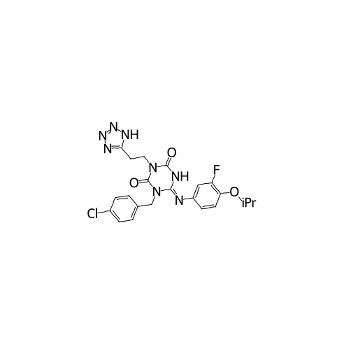 CC(C)Oc1ccc(/N=c2\[nH]c(=O)n(CCc3nnn[nH]3)c(=O)n2Cc2ccc(Cl)cc2)cc1F